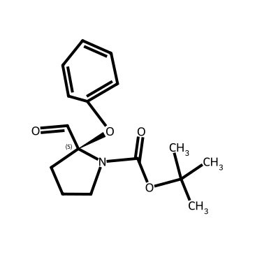 CC(C)(C)OC(=O)N1CCC[C@@]1(C=O)Oc1ccccc1